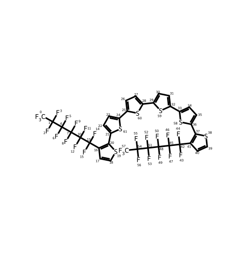 FC(F)(F)C(F)(F)C(F)(F)C(F)(F)C(F)(F)C(F)(F)c1ccsc1-c1ccc(-c2ccc(-c3ccc(-c4ccc(-c5sccc5C(F)(F)C(F)(F)C(F)(F)C(F)(F)C(F)(F)C(F)(F)F)s4)s3)s2)s1